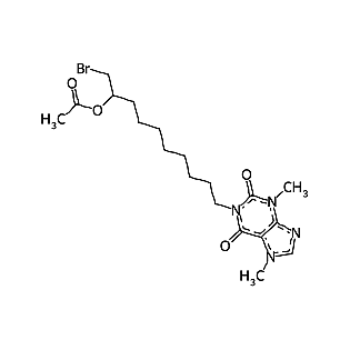 CC(=O)OC(CBr)CCCCCCCCn1c(=O)c2c(ncn2C)n(C)c1=O